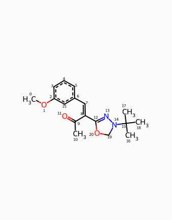 COc1cccc(C=C(C(C)=O)C2=NN(C(C)(C)C)CO2)c1